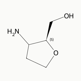 NC1CCO[C@@H]1CO